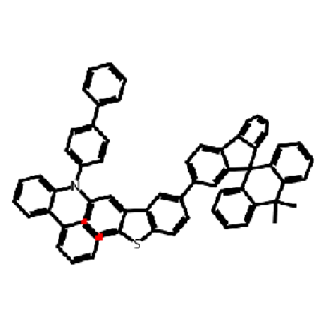 CC1(C)c2ccccc2C2(c3ccccc3-c3ccc(-c4ccc5sc6ccc(N(c7ccc(-c8ccccc8)cc7)c7ccccc7-c7ccccc7)cc6c5c4)cc32)c2ccccc21